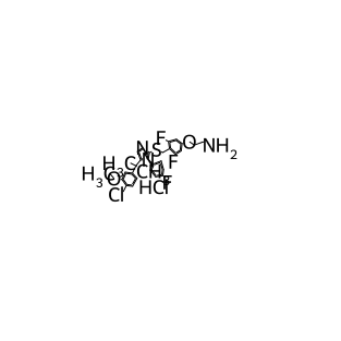 COc1cc(C(C)(C)c2cnc(SCc3c(F)cc(OCCN)cc3F)n2-c2ccc(F)cc2)ccc1Cl.Cl